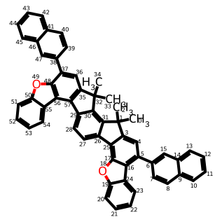 CC1(C)c2cc(-c3ccc4ccccc4c3)c3c(oc4ccccc43)c2-c2ccc3c(c21)C(C)(C)c1cc(-c2ccc4ccccc4c2)c2oc4ccccc4c2c1-3